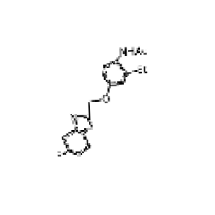 CCc1cc(OCc2nc3cc(F)ccc3s2)ccc1NC(C)=O